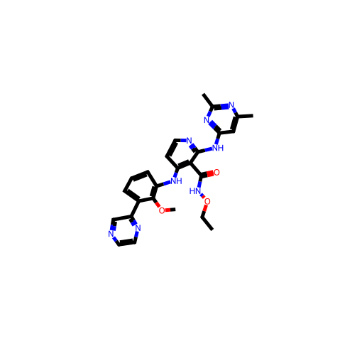 CCONC(=O)c1c(Nc2cccc(-c3cnccn3)c2OC)ccnc1Nc1cc(C)nc(C)n1